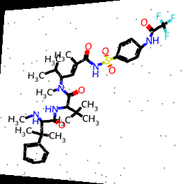 CNC(C(=O)NC(C(=O)N(C)C(C=C(C)C(=O)NS(=O)(=O)c1ccc(NC(=O)C(F)(F)F)cc1)C(C)C)C(C)(C)C)C(C)(C)c1ccccc1